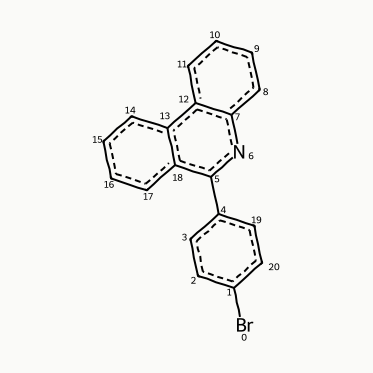 Brc1ccc(-c2nc3ccccc3c3ccccc23)cc1